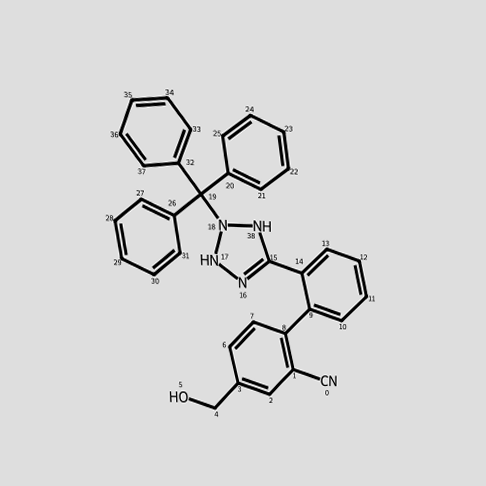 N#Cc1cc(CO)ccc1-c1ccccc1C1=NNN(C(c2ccccc2)(c2ccccc2)c2ccccc2)N1